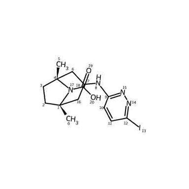 C[C@]12CC[C@](C)(CC(Nc3ccc(I)nn3)C1)N2C(=O)O